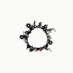 CCCCC[C@H]1C(=O)N(C)[C@@H](CCCC)C(=O)N[C@@H](Cc2cnc[nH]2)C(=O)N[C@H](C(=O)NCC(N)=O)CSCC(=O)N[C@@H](Cc2ccccc2)C(=O)N(C)[C@@H](C)C(=O)N[C@@H](CC(N)=O)C(=O)N2CCC[C@H]2C(=O)N[C@@H](Cc2cnc[nH]2)C(=O)N[C@@H](CC(C)C)C(=O)N(C)CC(=O)N[C@@H](Cc2c[nH]c3ccccc23)C(=O)N[C@@H](CO)C(=O)N[C@@H](Cc2c[nH]c3ccccc23)C(=O)N1C